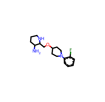 NC1CCCNC1COC1CCN(c2ccccc2F)CC1